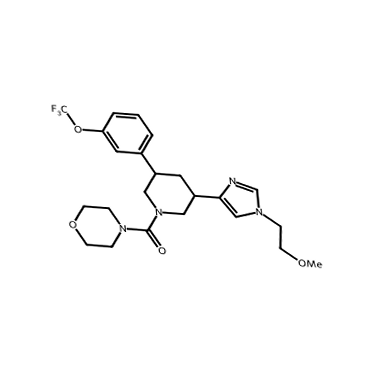 COCCn1cnc(C2CC(c3cccc(OC(F)(F)F)c3)CN(C(=O)N3CCOCC3)C2)c1